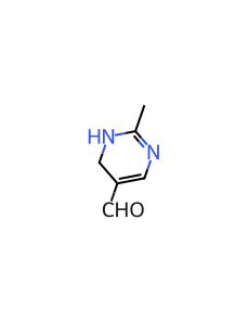 CC1=NC=C(C=O)CN1